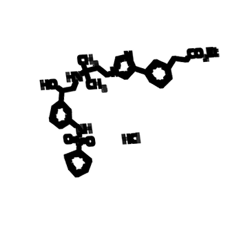 CCOC(=O)CCc1cccc(-c2cn(CCC(C)(C)NCC(O)c3cccc(NS(=O)(=O)c4ccccc4)c3)cn2)c1.Cl